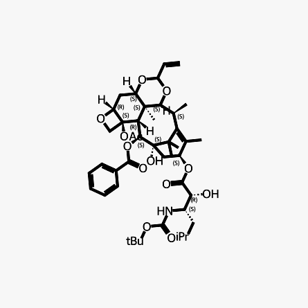 C=CC1O[C@H]2C[C@H]3OC[C@@]3(OC(C)=O)[C@H]3[C@H](OC(=O)c4ccccc4)[C@]4(O)C[C@H](OC(=O)[C@H](O)[C@H](CC(C)C)NC(=O)OC(C)(C)C)C(C)=C([C@H](C)[C@H](O1)[C@]23C)C4(C)C